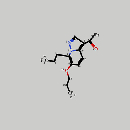 CC(C)C(=O)c1cnn2c(CCC(F)(F)F)c(OCCC(F)(F)F)ccc12